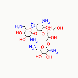 NCC1O[C@H](OCC(O)C(OCCO)OC2C(O)[C@H](N)CC(N)[C@H]2O[C@@H]2OC(CN)[C@@H](O)C(O)C2N)C(N)C(O)[C@@H]1O